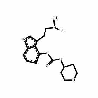 CN(C)CCc1c[nH]c2cccc(OC(=O)OC3CCOCC3)c12